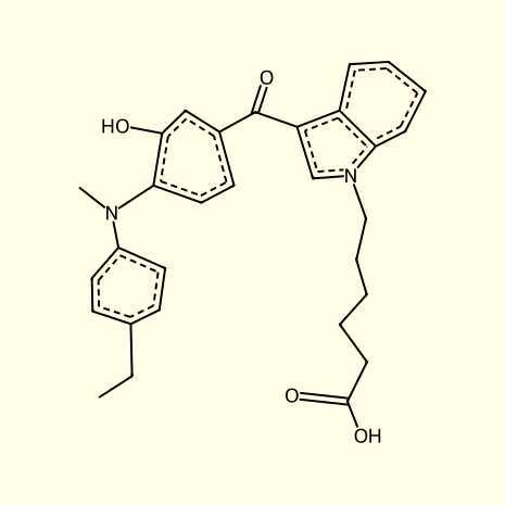 CCc1ccc(N(C)c2ccc(C(=O)c3cn(CCCCCC(=O)O)c4ccccc34)cc2O)cc1